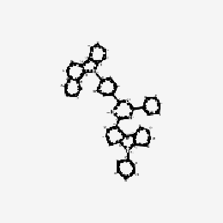 c1ccc(-c2nc(-c3ccc(-n4c5ccccc5c5ccc6ccccc6c54)cc3)nc(-c3cccc4c3c3ccccc3n4-c3ccccc3)n2)cc1